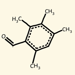 Cc1cc(C)c([C]=O)c(C)c1C